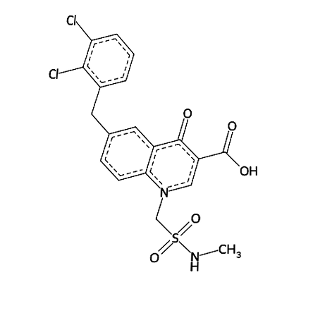 CNS(=O)(=O)Cn1cc(C(=O)O)c(=O)c2cc(Cc3cccc(Cl)c3Cl)ccc21